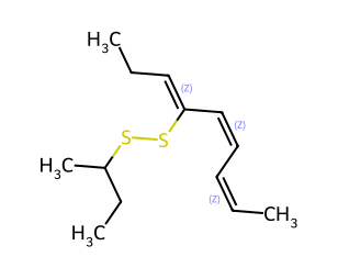 C\C=C/C=C\C(=C\CC)SSC(C)CC